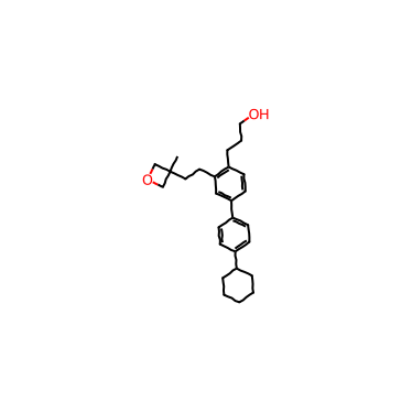 CC1(CCc2cc(-c3ccc(C4CCCCC4)cc3)ccc2CCCO)COC1